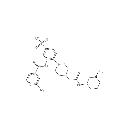 CN1CCCC(NC(=O)CC2CCN(c3ncc(S(C)(=O)=O)cc3NC(=O)c3cccc(C(F)(F)F)c3)CC2)C1